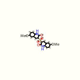 COc1ccc2[nH]c(=O)c(S(=O)(=O)c3cc4cc(OC)ccc4[nH]c3=O)cc2c1